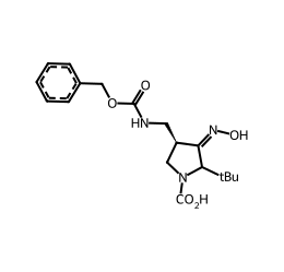 CC(C)(C)C1C(=NO)[C@H](CNC(=O)OCc2ccccc2)CN1C(=O)O